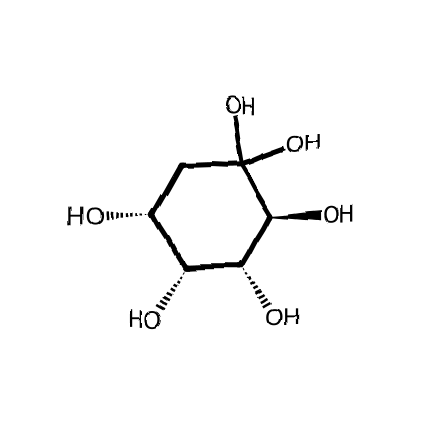 O[C@@H]1[C@H](O)[C@H](O)CC(O)(O)[C@H]1O